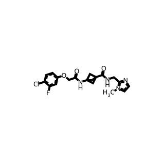 Cn1ccnc1CNC(=O)C12CC(NC(=O)COc3ccc(Cl)c(F)c3)(C1)C2